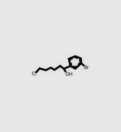 OC(CCCCCCl)c1cccc(Br)c1